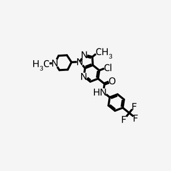 Cc1nn(C2CCN(C)CC2)c2ncc(C(=O)Nc3ccc(C(F)(F)F)cc3)c(Cl)c12